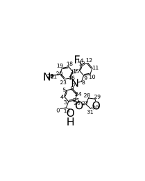 CC(O)c1ccc(N(Cc2cccc(F)c2)c2cccc(C#N)c2)cc1OC1CCOC1